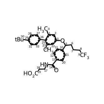 Cc1cc(OC(CCCC(F)(F)F)c2ccc(C(=O)NCCC(=O)O)cc2)cc(C)c1-c1ccc(C(C)(C)C)cc1